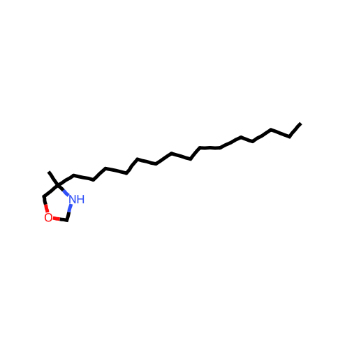 CCCCCCCCCCCCCCCC1(C)COCN1